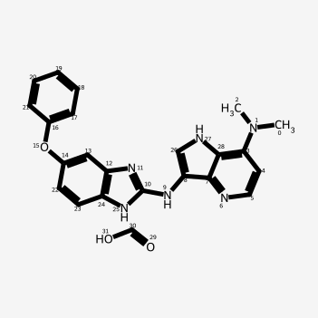 CN(C)c1ccnc2c(Nc3nc4cc(Oc5ccccc5)ccc4[nH]3)c[nH]c12.O=CO